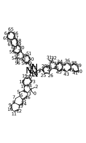 CC1(C)C2=C(CC3CC4C=CC=CC4=CC3=C2)c2ccc(-c3nc(-c4ccc5c(c4)C(C)(C)c4cc6cc7ccccc7cc6cc4-5)nc(-c4ccc5c(c4)C(C)(C)c4cc6cc7ccccc7cc6cc4-5)n3)cc21